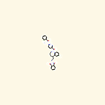 O=C(Nc1ccc(C(=O)N2CCCC(CCN3C(=O)c4ccccc4C3=O)c3cc(Cl)ccc32)cn1)c1ccccc1Cl